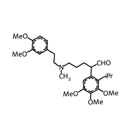 COc1ccc(CCN(C)CCCC(C=O)c2cc(OC)c(OC)c(OC)c2C(C)C)cc1OC